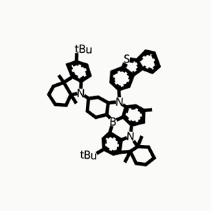 Cc1cc2c3c(c1)N1c4c(cc(C(C)(C)C)cc4C4(C)CCCCC14C)B3C1CCC(N3c4ccc(C(C)(C)C)cc4C4(C)CCCCC34C)CC1N2c1ccc2sc3ccccc3c2c1